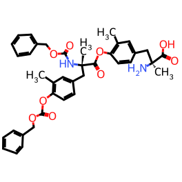 Cc1cc(C[C@](C)(NC(=O)OCc2ccccc2)C(=O)Oc2ccc(C[C@](C)(N)C(=O)O)cc2C)ccc1OC(=O)OCc1ccccc1